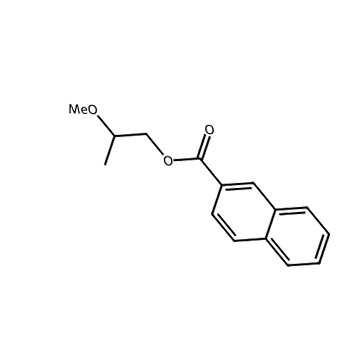 COC(C)COC(=O)c1ccc2ccccc2c1